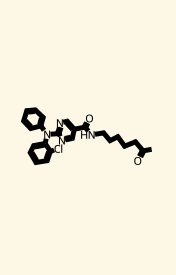 CC(=O)CCCCCNC(=O)c1cnc(N(c2ccccc2)c2ccccc2Cl)nc1